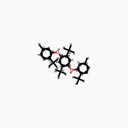 Cc1ccc(C(C)(C)C)c(Oc2cc(C(C)(C)C)c(Oc3cc(C)ccc3C(C)(C)C)cc2C(C)(C)C)c1